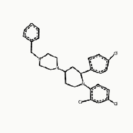 Clc1ccc(C2CC(N3CCN(Cc4ccccc4)CC3)CCN2c2ccc(Cl)cc2Cl)cc1